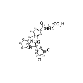 O=C(O)CCNC(=O)c1ccc(CN2C(=O)C(c3cc(Cl)cc(Cl)c3)=NC23CCCCC3)cc1